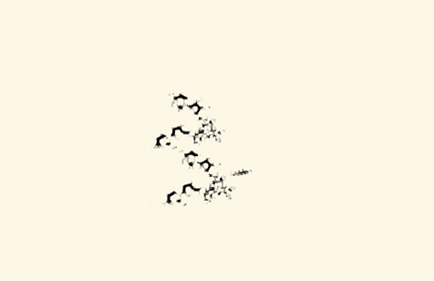 Nc1ccn([C@H]2C[C@H](O)C(COP(=O)(O)OP(=O)(OP(=O)([O-])[O-])OP(=O)(O)OC[C@H]3O[C@@H](n4ccc(=O)[nH]c4=O)[C@H](O)[C@@H]3O)O2)c(=O)n1.Nc1ccn([C@H]2C[C@H](O)C(COP(=O)(O)OP(=O)(OP(=O)([O-])[O-])OP(=O)(O)OC[C@H]3O[C@@H](n4ccc(=O)[nH]c4=O)[C@H](O)[C@@H]3O)O2)c(=O)n1.[Na+].[Na+].[Na+].[Na+]